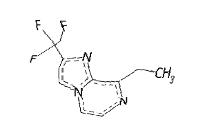 CCc1nccn2cc(C(F)(F)F)nc12